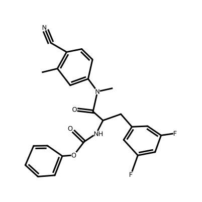 Cc1cc(N(C)C(=O)C(Cc2cc(F)cc(F)c2)NC(=O)Oc2ccccc2)ccc1C#N